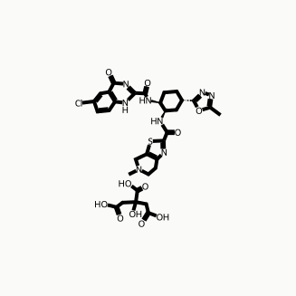 Cc1nnc([C@H]2CC[C@H](NC(=O)c3nc(=O)c4cc(Cl)ccc4[nH]3)[C@H](NC(=O)c3nc4c(s3)CN(C)CC4)C2)o1.O=C(O)CC(O)(CC(=O)O)C(=O)O